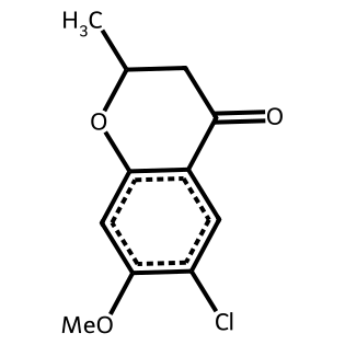 COc1cc2c(cc1Cl)C(=O)CC(C)O2